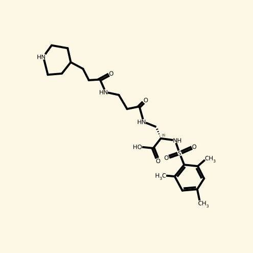 Cc1cc(C)c(S(=O)(=O)N[C@@H](CNC(=O)CCNC(=O)CCC2CCNCC2)C(=O)O)c(C)c1